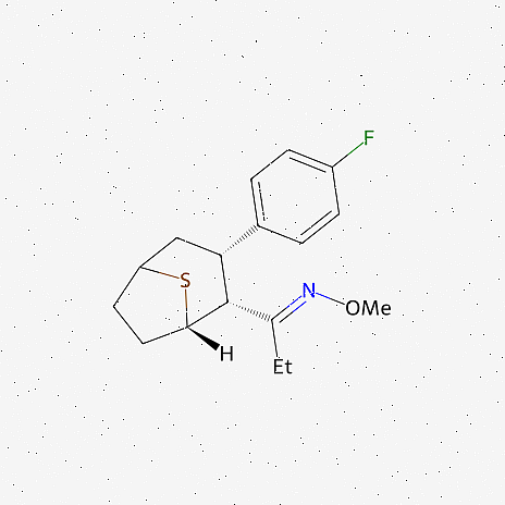 CCC(=NOC)[C@@H]1[C@@H]2CCC(C[C@@H]1c1ccc(F)cc1)S2